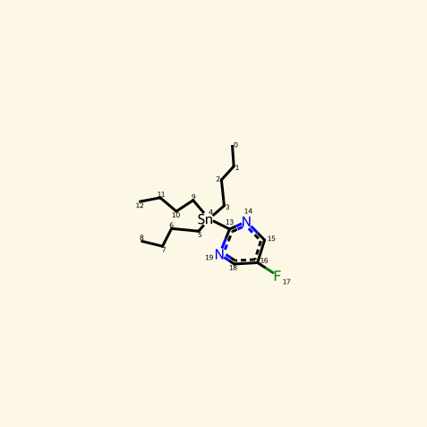 CCC[CH2][Sn]([CH2]CCC)([CH2]CCC)[c]1ncc(F)cn1